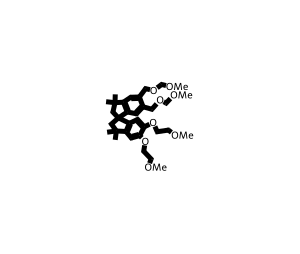 COCCOc1cc2c(cc1OCCOC)C1(CC(C)(C)c3cc(COCOC)c(COCOC)cc31)CC2(C)C